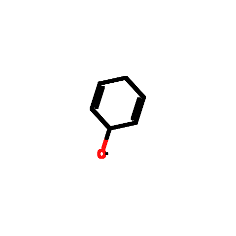 [O]C1C=CCC=C1